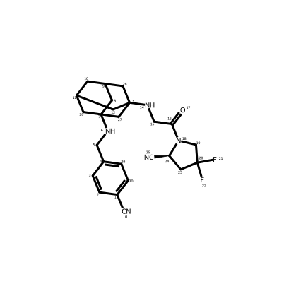 N#Cc1ccc(CNC23CC4CC(CC(NCC(=O)N5CC(F)(F)C[C@H]5C#N)(C4)C2)C3)cc1